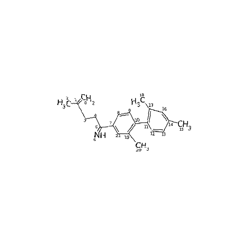 C=C(C)CCC(=N)c1ccc(-c2ccc(C)cc2C)c(C)c1